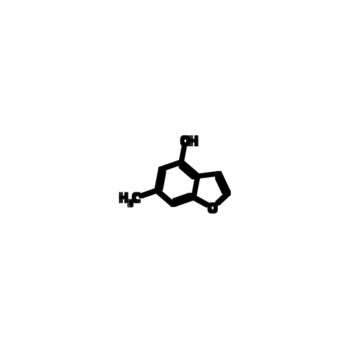 Cc1cc(O)c2ccoc2c1